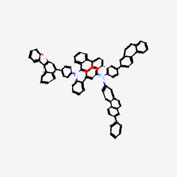 c1ccc(-c2ccc3c(ccc4cc(N(c5ccc(-c6ccc7c(ccc8ccccc87)c6)cc5)c5cccc(-c6ccccc6N(c6ccc(-c7cc8oc9ccccc9c8c8ccccc78)cc6)c6cc7ccccc7c7ccccc67)c5)ccc43)c2)cc1